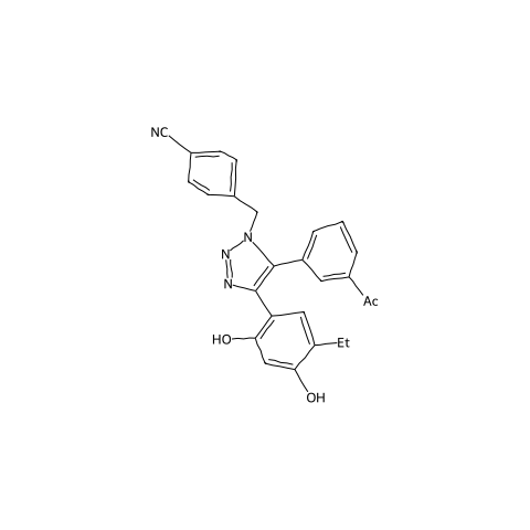 CCc1cc(-c2nnn(Cc3ccc(C#N)cc3)c2-c2cccc(C(C)=O)c2)c(O)cc1O